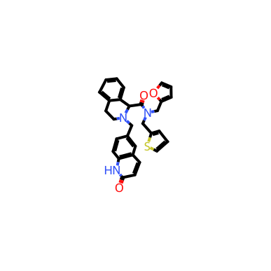 O=C(C1c2ccccc2CCN1Cc1ccc2[nH]c(=O)ccc2c1)N(Cc1ccco1)Cc1cccs1